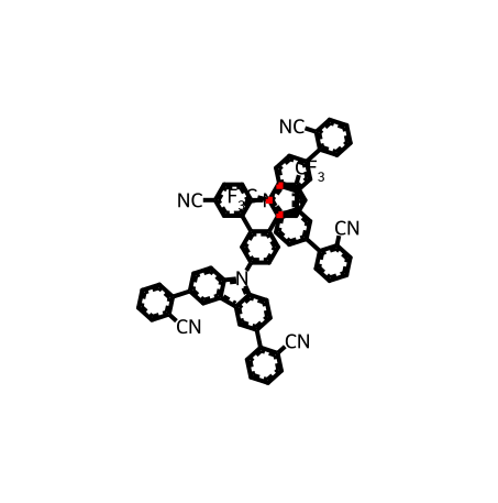 N#Cc1ccc(-n2c3ccc(-c4ccccc4C#N)cc3c3cc(-c4ccccc4C#N)ccc32)c(-c2cc(-n3c4ccc(-c5ccccc5C#N)cc4c4cc(-c5ccccc5C#N)ccc43)ccc2-c2ccc(C(F)(F)F)cc2C(F)(F)F)c1